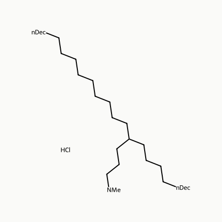 CCCCCCCCCCCCCCCCCCCC(CCCCCCCCCCCCCC)CCCNC.Cl